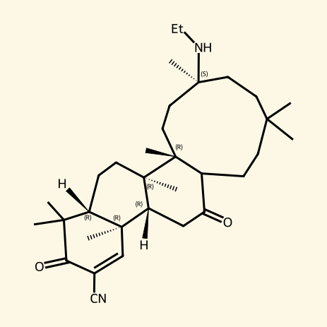 CCN[C@@]1(C)CCC(C)(C)CCC2C(=O)C[C@@H]3[C@@]4(C)C=C(C#N)C(=O)C(C)(C)[C@@H]4CC[C@@]3(C)[C@]2(C)CC1